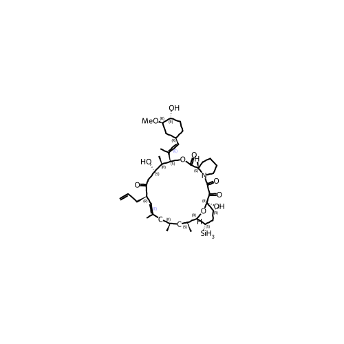 C=CC[C@@H]1/C=C(\C)C[C@H](C)C[C@H](C)[C@H]2O[C@@](O)(C(=O)C(=O)N3CCCC[C@H]3C(=O)O[C@H](/C(C)=C/[C@@H]3CC[C@@H](O)[C@H](OC)C3)[C@H](C)[C@@H](O)CC1=O)[C@H](C)C[C@@H]2[SiH3]